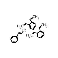 C=Cc1ccccc1C=C.C=Cc1ccccc1C=C.CCC=Cc1ccccc1